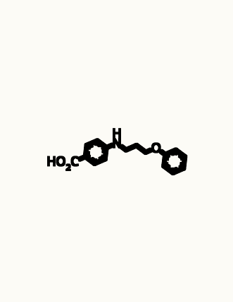 O=C(O)c1ccc(NCCCOc2ccccc2)cc1